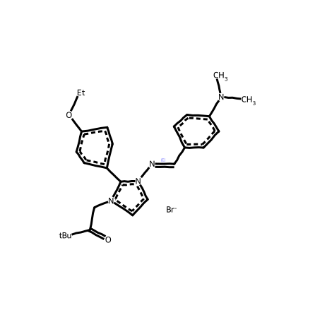 CCOc1ccc(-c2n(/N=C/c3ccc(N(C)C)cc3)cc[n+]2CC(=O)C(C)(C)C)cc1.[Br-]